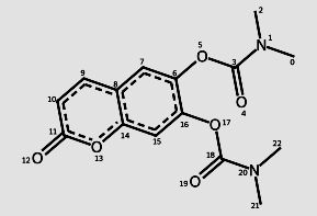 CN(C)C(=O)Oc1cc2ccc(=O)oc2cc1OC(=O)N(C)C